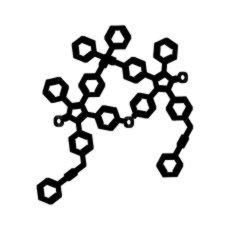 O=C1C(c2ccccc2)=C(c2ccc(C#Cc3ccccc3)cc2)C(c2ccc(Oc3ccc(C4=C(c5ccc(CC#Cc6ccccc6)cc5)C(=O)C(c5ccccc5)=C4c4ccc(C#Cc5ccccc5)cc4)cc3)cc2)=C1c1ccc(CC#Cc2ccccc2)cc1